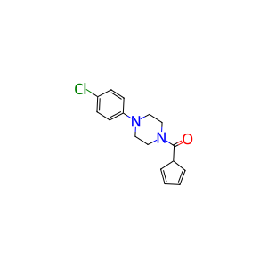 O=C(C1C=CC=C1)N1CCN(c2ccc(Cl)cc2)CC1